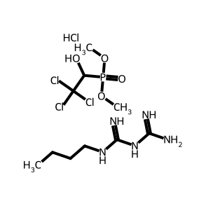 CCCCNC(=N)NC(=N)N.COP(=O)(OC)C(O)C(Cl)(Cl)Cl.Cl